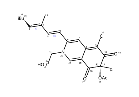 CC[C@H](C)/C=C(C)/C=C/C1=CC2=C(Cl)C(=O)[C@](C)(OC(C)=O)C(=O)C2=CN1CC(=O)O